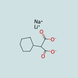 O=C([O-])C(C(=O)[O-])C1CCCCC1.[Li+].[Na+]